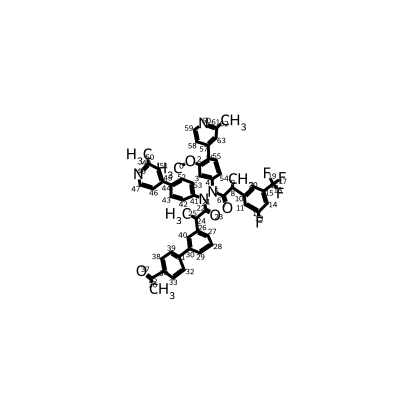 COc1cc(N(C(=O)C(C)c2cc(F)cc(C(F)(F)F)c2)N(C(=O)C(C)c2cccc(-c3ccc(C(C)=O)cc3)c2)c2ccc(-c3ccnc(C)c3)cc2)ccc1-c1ccnc(C)c1